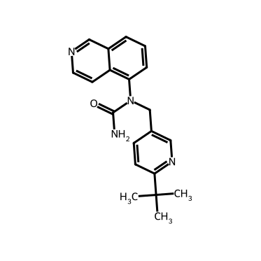 CC(C)(C)c1ccc(CN(C(N)=O)c2cccc3cnccc23)cn1